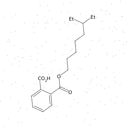 CCC(CC)CCCCCOC(=O)c1ccccc1C(=O)O